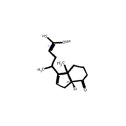 CO/C(S)=C\CC(C)C1=CC[C@H]2C(=O)CCCC12C